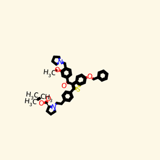 COc1cc(C(=O)c2c(-c3ccc(CCN4CCC[C@H]4C(=O)OC(C)(C)C)cc3)sc3cc(OCc4ccccc4)ccc23)ccc1CN1CCCC1